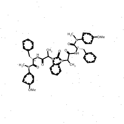 COc1ccc(N(C)C(=O)[C@H](Cc2ccccc2)NC(=O)C(C)n2c(=O)n(C(C)C(=O)N[C@@H](Cc3ccccc3)C(=O)N(C)c3ccc(OC)cc3)c3ccccc32)cc1